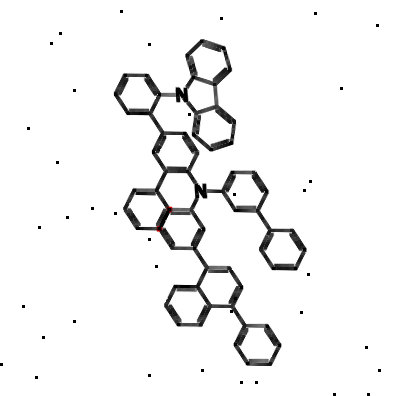 c1ccc(-c2cccc(N(c3cccc(-c4ccc(-c5ccccc5)c5ccccc45)c3)c3ccc(-c4ccccc4-n4c5ccccc5c5ccccc54)cc3-c3ccccc3)c2)cc1